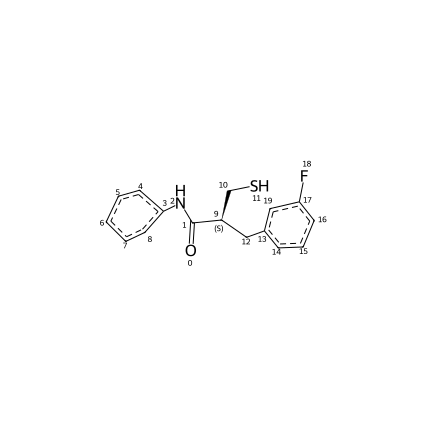 O=C(Nc1ccccc1)[C@@H](CS)Cc1cccc(F)c1